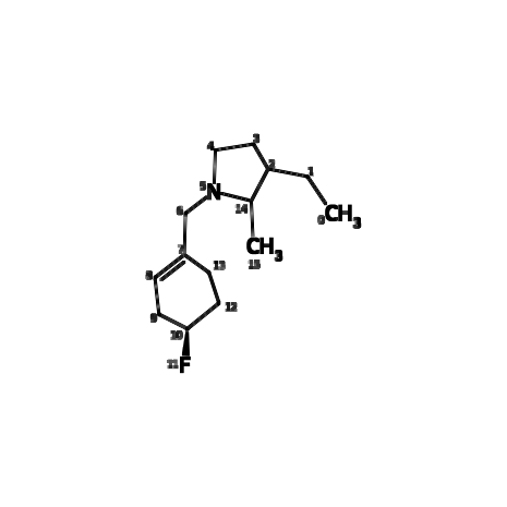 CCC1CCN(CC2=CC[C@H](F)CC2)C1C